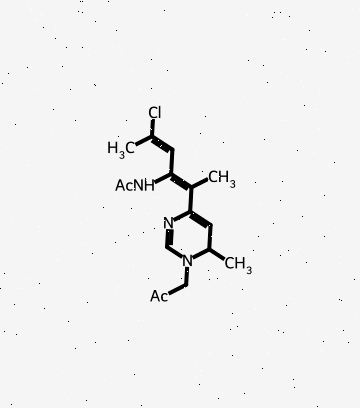 CC(=O)CN1C=NC(/C(C)=C(/C=C(\C)Cl)NC(C)=O)=CC1C